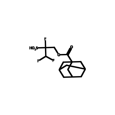 O=C(OCC(F)(C(F)F)S(=O)(=O)O)C12CC3CC(CC(C3)C1)C2